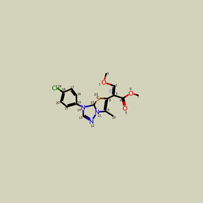 CO/C=C(/C(=O)OC)C1=C(C)N2N=CN(c3ccc(Cl)cc3)C2S1